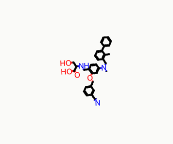 Cc1c(CN(C)c2ccc(CNC(CO)C(=O)O)c(OCc3cccc(C#N)c3)c2)cccc1-c1ccccc1